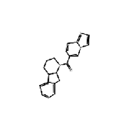 O=C(c1ccc2nccn2c1)N1CCCC2c3ccccc3CC21